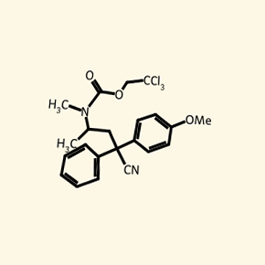 COc1ccc(C(C#N)(CC(C)N(C)C(=O)OCC(Cl)(Cl)Cl)c2ccccc2)cc1